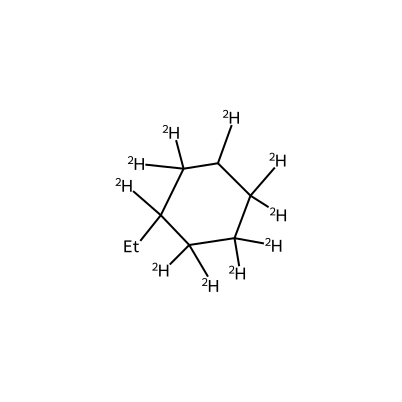 [2H]C1C([2H])([2H])C([2H])([2H])C([2H])([2H])C([2H])(CC)C1([2H])[2H]